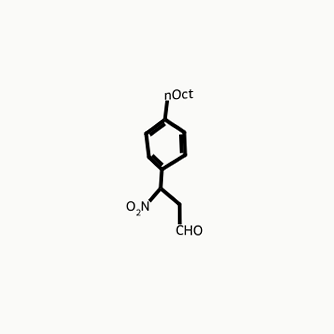 CCCCCCCCc1ccc(C(CC=O)[N+](=O)[O-])cc1